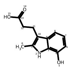 Cc1[nH]c2c(O)cccc2c1CCC(=O)O